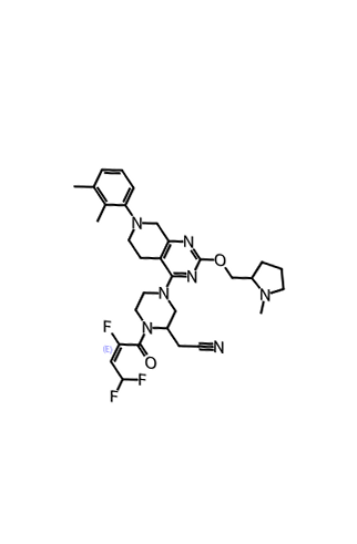 Cc1cccc(N2CCc3c(nc(OCC4CCCN4C)nc3N3CCN(C(=O)/C(F)=C\C(F)F)C(CC#N)C3)C2)c1C